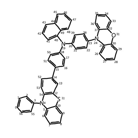 c1ccc(N2c3ccccc3Sc3cc(-c4ccc(N(c5ccc(N6c7ccccc7Oc7ccccc76)cc5)c5cccc6ccccc56)cc4)ccc32)cc1